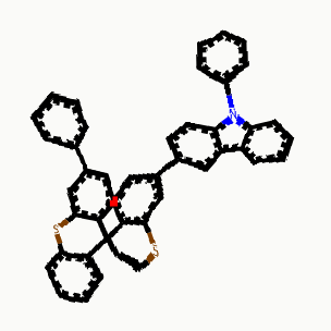 c1ccc(-c2ccc3c(c2)Sc2ccccc2C32c3ccccc3Sc3cc(-c4ccc5c(c4)c4ccccc4n5-c4ccccc4)ccc32)cc1